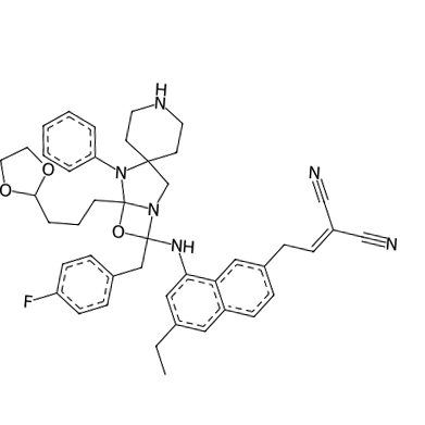 CCc1cc(NC2(Cc3ccc(F)cc3)OC3(CCCC4OCCO4)N(c4ccccc4)C4(CCNCC4)CN23)c2cc(CC=C(C#N)C#N)ccc2c1